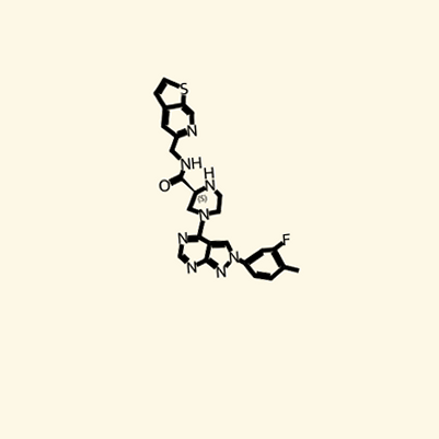 Cc1ccc(-n2cc3c(N4CCN[C@H](C(=O)NCc5cc6ccsc6cn5)C4)ncnc3n2)cc1F